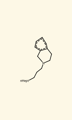 CCCCCCCCCCN1CCc2ccccc2C1